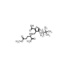 COC(=O)CCC(NCc1c(O[Si](C)(C)C(C)(C)C)csc1C(=O)O)C(N)=O